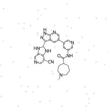 CN1CCCC(C(=O)Nc2cncc(-c3cnc4[nH]nc(C5Nc6cncc(C#N)c6N5)c4c3)c2)CC1